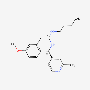 CCCCN[C@H]1Cc2cc(OC)ccc2[C@H](c2ccnc(C)c2)N1